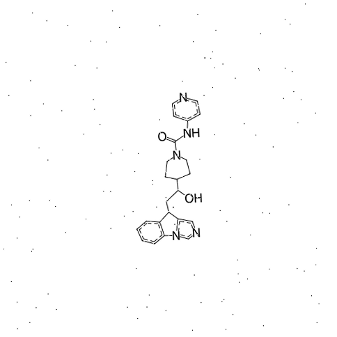 O=C(Nc1ccncc1)N1CCC(C(O)CC2c3ccccc3-n3cncc32)CC1